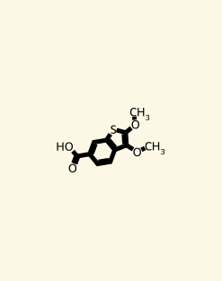 COc1sc2cc(C(=O)O)ccc2c1OC